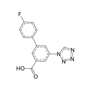 O=C(O)c1cc(-c2ccc(F)cc2)cc(-n2cnnn2)c1